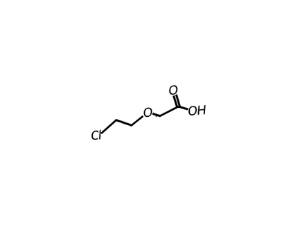 O=C(O)[CH]OCCCl